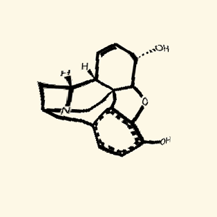 Oc1ccc2c3c1OC1[C@@H](O)C=C[C@H]4[C@H]5CC2N5CC[C@]314